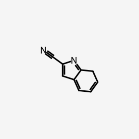 N#CC1=CC2=CC=CCC2=N1